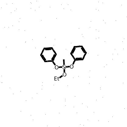 CCO[Si](C)(Oc1ccccc1)Oc1ccccc1